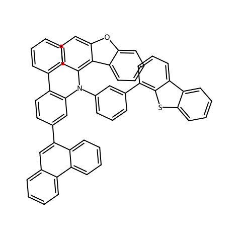 c1ccc(-c2ccc(-c3cc4ccccc4c4ccccc34)cc2N(c2cccc(-c3cccc4c3sc3ccccc34)c2)c2cccc3oc4ccccc4c23)cc1